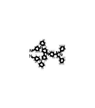 N#Cc1ccc(N(c2ccccc2)c2ccc3c(c2)c2cc(N(c4ccccc4)c4ccc(C#N)cc4)ccc2n3-c2ccc(-c3cc(-c4ccccc4)nc(-c4ccccc4)n3)cc2)cc1